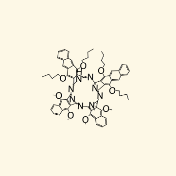 CCCCOc1c2c(c(OCCCC)c3cc4ccccc4cc13)-c1nc-2nc2[nH]c(nc3nc(nc4c5c(OC)c6ccccc6c(OC)c5c(n1)n4C)-c1c-3c(OC)c3ccccc3c1OC)c1c(OCCCC)c3cc4ccccc4cc3c(OCCCC)c21